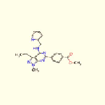 CCc1nn(C)c2nc(-c3ccc(C(=O)OC)cc3)nc(NCc3ccccn3)c12